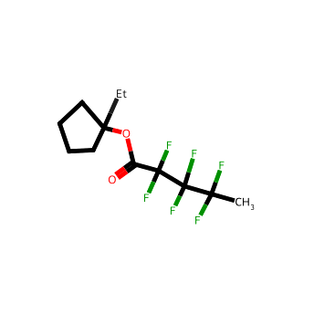 CCC1(OC(=O)C(F)(F)C(F)(F)C(C)(F)F)CCCC1